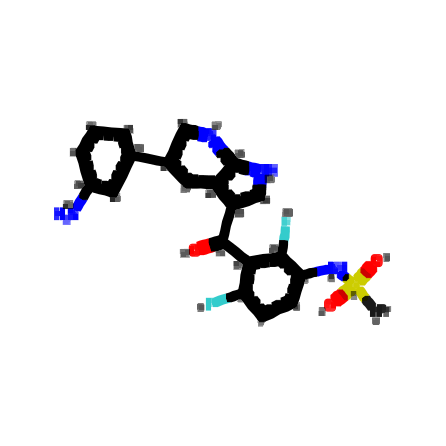 CCCS(=O)(=O)Nc1ccc(F)c(C(=O)c2c[nH]c3ncc(-c4cccc(N)c4)cc23)c1F